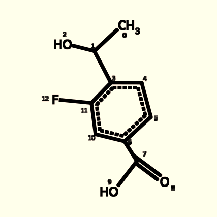 CC(O)c1ccc(C(=O)O)cc1F